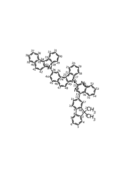 CC1(C)c2ccccc2-c2ccc(-c3nc(-n4c5ccccc5c5c6cc(-n7c8ccccc8c8c9ccccc9ccc87)ccc6ccc54)nc4ccccc34)cc21